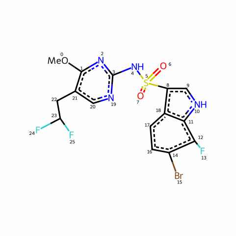 COc1nc(NS(=O)(=O)c2c[nH]c3c(F)c(Br)ccc23)ncc1CC(F)F